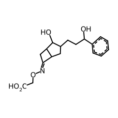 O=C(O)CON=C1CC2C1CC(CCC(O)c1ccccc1)C2O